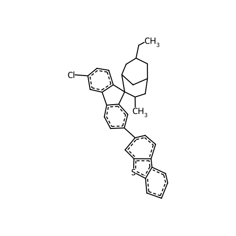 CCC1CC2CC(C)C3(c4ccc(Cl)cc4-c4ccc(-c5ccc6c(c5)sc5ccccc56)cc43)C(C1)C2